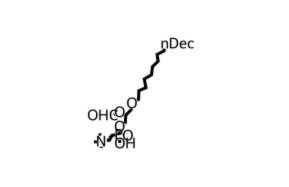 CCCCCCCCCCCCCCCCCCCOCC(COP(=O)(O)CC[N+](C)(C)C)OC=O